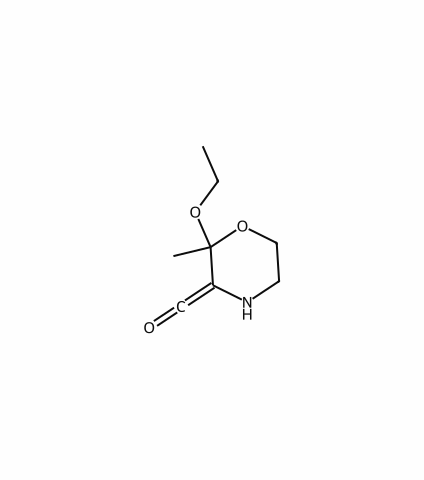 CCOC1(C)OCCNC1=C=O